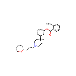 CC(=O)Oc1ccccc1C(=O)Oc1cccc(C2(C)CCN(CCCC3CCCCO3)CC2C)c1